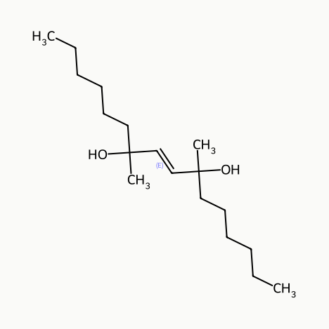 CCCCCCC(C)(O)/C=C/C(C)(O)CCCCCC